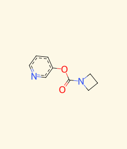 O=C(Oc1cccnc1)N1CCC1